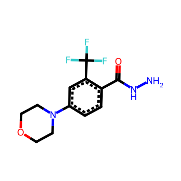 NNC(=O)c1ccc(N2CCOCC2)cc1C(F)(F)F